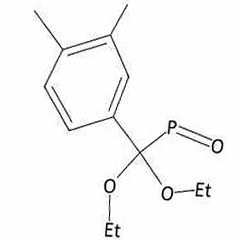 CCOC(OCC)(P=O)c1ccc(C)c(C)c1